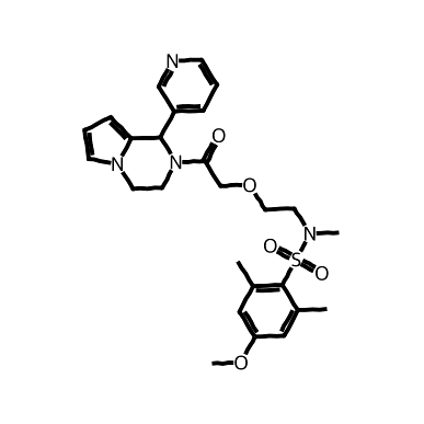 COc1cc(C)c(S(=O)(=O)N(C)CCOCC(=O)N2CCn3cccc3C2c2cccnc2)c(C)c1